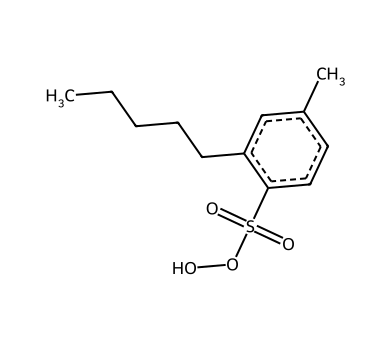 CCCCCc1cc(C)ccc1S(=O)(=O)OO